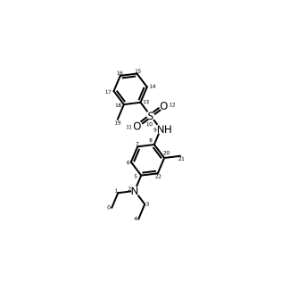 CCN(CC)c1ccc(NS(=O)(=O)c2ccccc2C)c(C)c1